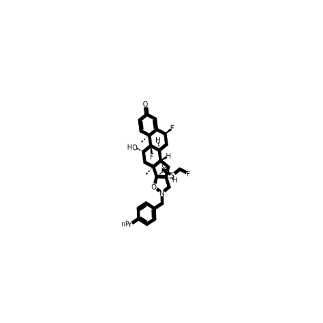 CCCc1ccc(CN2C[C@@H]3C[C@H]4[C@@H]5C[C@H](F)C6=CC(=O)C=C[C@]6(C)[C@@]5(F)[C@@H](O)C[C@]4(C)[C@]3(C(=O)SCF)O2)cc1